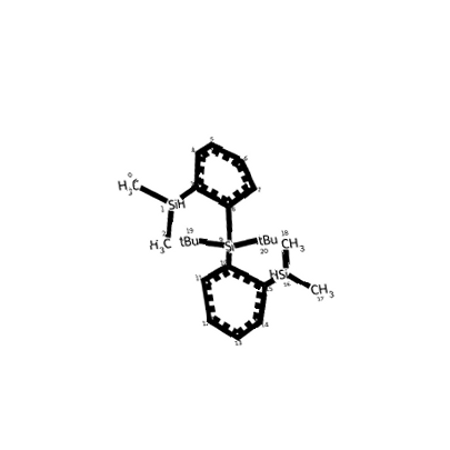 C[SiH](C)c1ccccc1[Si](c1ccccc1[SiH](C)C)(C(C)(C)C)C(C)(C)C